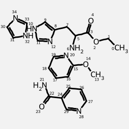 CCOC(=O)C(N)Cc1c[nH]cn1.COc1ccccn1.NC(=O)c1cccnc1.c1c[nH]cn1